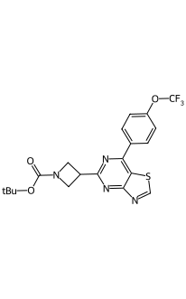 CC(C)(C)OC(=O)N1CC(c2nc(-c3ccc(OC(F)(F)F)cc3)c3scnc3n2)C1